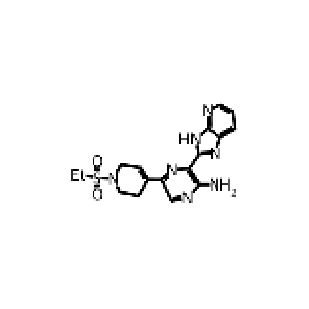 CCS(=O)(=O)N1CC=C(c2cnc(N)c(-c3nc4cccnc4[nH]3)n2)CC1